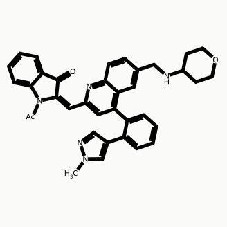 CC(=O)N1C(=Cc2cc(-c3ccccc3-c3cnn(C)c3)c3cc(CNC4CCOCC4)ccc3n2)C(=O)c2ccccc21